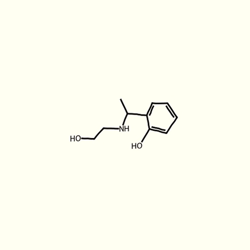 CC(NCCO)c1ccccc1O